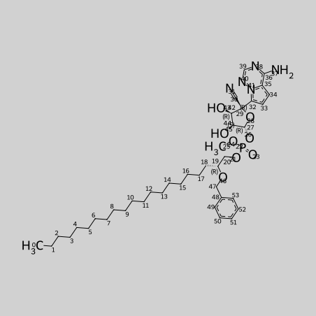 CCCCCCCCCCCCCCCCCCC[C@H](COP(=O)(OC)O[C@H]1O[C@@](C#N)(c2ccc3c(N)ncnn23)[C@H](O)[C@@H]1O)OCc1ccccc1